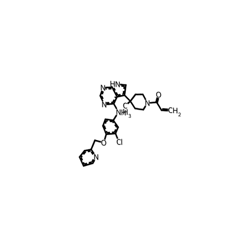 C=CC(=O)N1CCC(C)(c2c[nH]c3ncnc(Nc4ccc(OCc5ccccn5)c(Cl)c4)c23)CC1